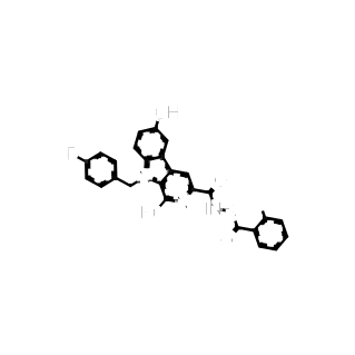 CCc1nc(C(=O)NSC(=O)c2ccccc2F)cc2c3cc(C)ccc3n(Cc3ccc(F)cc3)c12